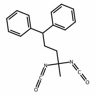 CC(CCC(c1ccccc1)c1ccccc1)(N=C=O)N=C=O